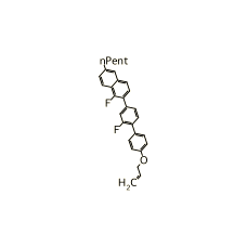 C=CCOc1ccc(-c2ccc(-c3ccc4cc(CCCCC)ccc4c3F)cc2F)cc1